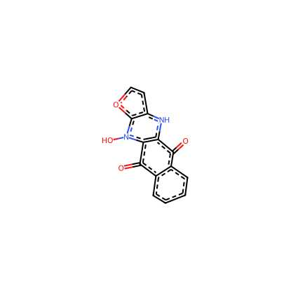 O=c1c2[nH]c3ccoc3n(O)c=2c(=O)c2ccccc12